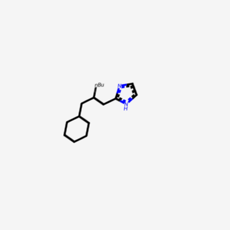 CCCCC(Cc1ncc[nH]1)CC1CCCCC1